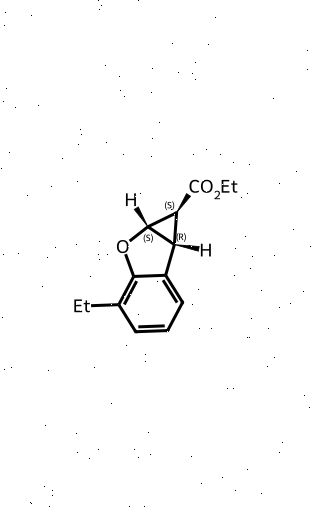 CCOC(=O)[C@@H]1[C@H]2Oc3c(CC)cccc3[C@H]21